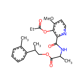 CCC(=O)Oc1c(OC)ccnc1C(=O)NC(C)C(=O)OCC(C)c1ccccc1C